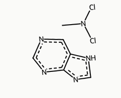 CN(Cl)Cl.c1ncc2[nH]cnc2n1